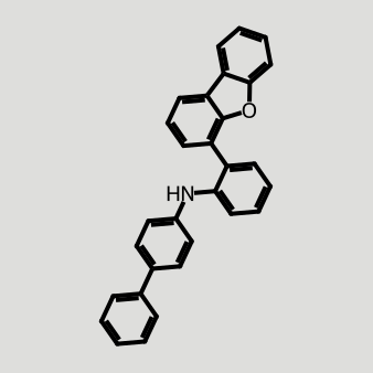 c1ccc(-c2ccc(Nc3ccccc3-c3cccc4c3oc3ccccc34)cc2)cc1